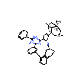 C[C@@H]1C[C@@H]2C[C@H](C)CC(c3ccc(-c4nc(-c5ccccc5)nc(-c5cccc(-c6cccc7ccc(C#N)cc67)c5)n4)cc3)(C1)C2